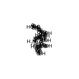 CN(c1ccc2c(O)c(N=Nc3ccc4c(S(=O)(=O)O)cccc4c3S(=O)(=O)O)c(SOOO)cc2c1)c1nc(Nc2cc(NCCC(=O)O)c(S(=O)(=O)O)cc2N=Nc2ccc(S(=O)(=O)CCOS(=O)(=O)O)cc2O)nc(-[n+]2cccc(C(N)=O)c2)n1